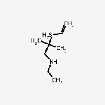 C=C[SiH2]C(C)(C)CNCC